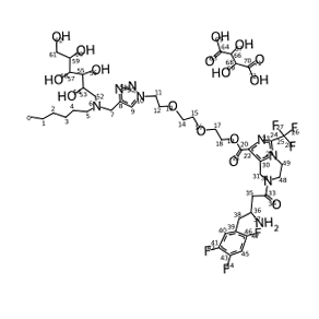 CCCCCCN(Cc1cn(CCOCCOCCOC(=O)c2nc(C(F)(F)F)n3c2CN(C(=O)CC(N)Cc2cc(F)c(F)cc2F)CC3)nn1)CC(O)C(O)C(O)C(O)CO.O=C(O)C(O)C(O)C(=O)O